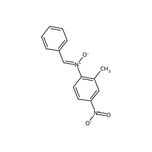 Cc1cc([N+](=O)[O-])ccc1[N+]([O-])=Cc1ccccc1